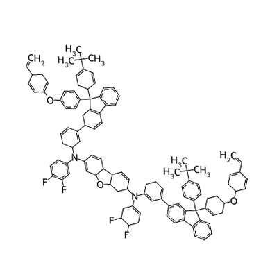 C=CC1=CCC(OC2CC=C(C3(c4ccc(C(C)(C)C)cc4)c4ccccc4-c4ccc(C5=CCCC(N(C6=CCC(F)C(F)C6)C6C=CC7C(C6)OC6C=C(N(c8ccc(F)c(F)c8)C8C=C(C9C=CC%10=C(C9)C(c9ccc(OC%11=CCC(C=C)C=C%11)cc9)(C9C=CC(C(C)(C)C)=CC9)c9ccccc9%10)C=CC8)C=CC67)=C5)cc43)CC2)C=C1